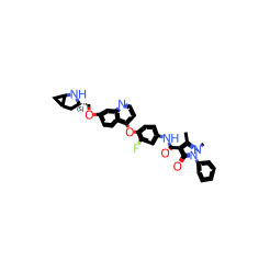 Cc1c(C(=O)Nc2ccc(Oc3ccnc4cc(OC[C@@H]5CC6CC6N5)ccc34)c(F)c2)c(=O)n(-c2ccccc2)n1C